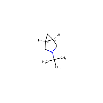 CC(C)(C)N1C[C@H]2C[C@H]2C1